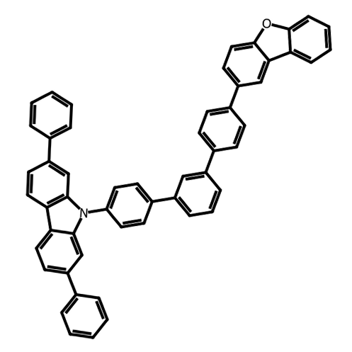 c1ccc(-c2ccc3c4ccc(-c5ccccc5)cc4n(-c4ccc(-c5cccc(-c6ccc(-c7ccc8oc9ccccc9c8c7)cc6)c5)cc4)c3c2)cc1